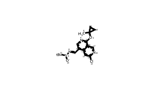 CC1(Oc2ncc(C=N[S+]([O-])C(C)(C)C)c3cc(Cl)ncc23)CC1